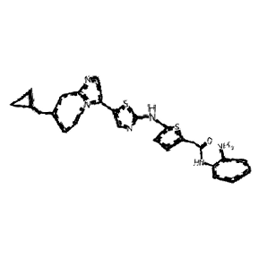 Nc1ccccc1NC(=O)c1ccc(Nc2ncc(-c3cnc4cc(CC5CC5)ccn34)s2)s1